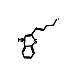 [CH2]CCC=CC1=CNc2ccccc2S1